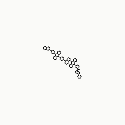 c1ccc(-c2ccc(-c3cccc(-c4c5ccccc5c(-c5cccc6c(-c7ccc(-c8c9ccccc9c(-c9ccc(-c%10ccc%11ccccc%11c%10)cc9)c9ccccc89)cc7)cccc56)c5ccccc45)c3)s2)cc1